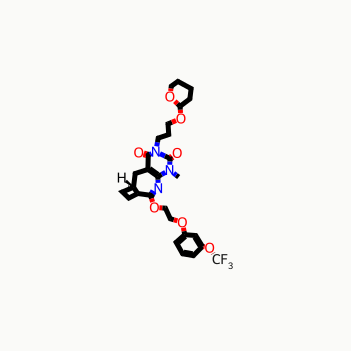 Cn1c2c(c(=O)n(CCCOC3CCCCO3)c1=O)C[C@H]1CCC1C(OCCOc1cccc(OC(F)(F)F)c1)=N2